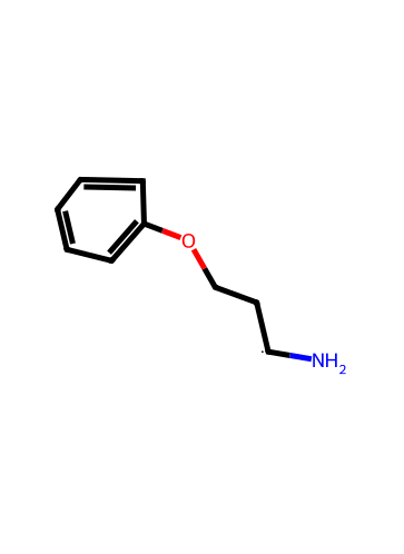 N[CH]CCOc1ccccc1